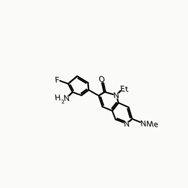 CCn1c(=O)c(-c2ccc(F)c(N)c2)cc2cnc(NC)cc21